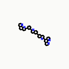 c1cc(-c2ccc3cc(-c4ccc5nc(-c6cc7cccnc7c7ncccc67)ccc5c4)ccc3n2)cc(-c2ccc3ccc4cccnc4c3n2)c1